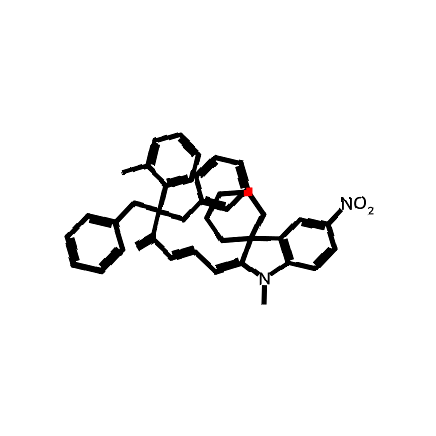 C=C(/C=C/C=C1/N(C)c2ccc([N+](=O)[O-])cc2C12CCCCC2)C(Cc1ccccc1)(Cc1ccccc1)c1ccccc1C